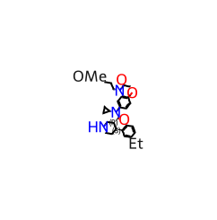 CCc1cccc([C@H]2CCNC[C@@H]2C(=O)N(c2ccc3c(c2)N(CCCOC)C(=O)CO3)C2CC2)c1